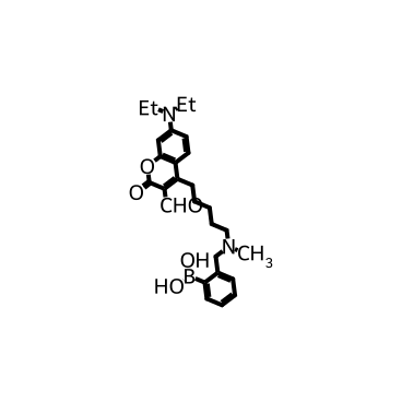 CCN(CC)c1ccc2c(CCCCCN(C)Cc3ccccc3B(O)O)c(C=O)c(=O)oc2c1